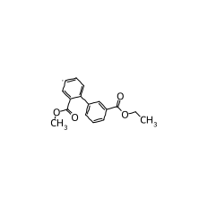 CCOC(=O)c1cccc(-c2cc[c]cc2C(=O)OC)c1